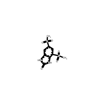 CS(=O)(=O)c1cc(S(C)(=O)=O)c2[nH]c(=O)[nH]c2c1